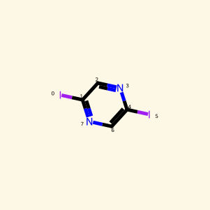 Ic1cnc(I)cn1